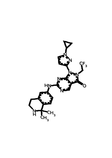 CC1(C)NCCc2cc(Nc3ncc4c(=O)n(CC(F)(F)F)n(-c5ccn(C6CC6)n5)c4n3)ccc21